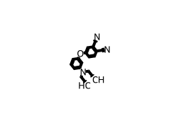 C#CCN(CC#C)c1cccc(Oc2ccc(C#N)c(C#N)c2)c1